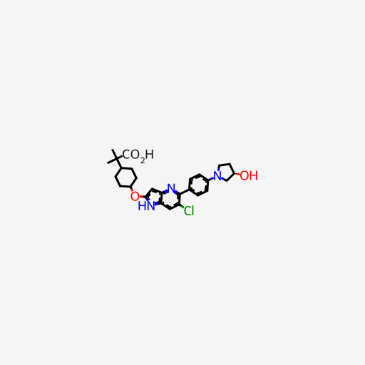 CC(C)(C(=O)O)C1CCC(Oc2cc3nc(-c4ccc(N5CC[C@@H](O)C5)cc4)c(Cl)cc3[nH]2)CC1